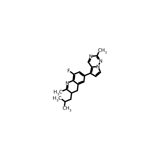 CC1=Nc2c(F)cc(-c3ccn4nc(C)ncc34)cc2CC1CC(C)C